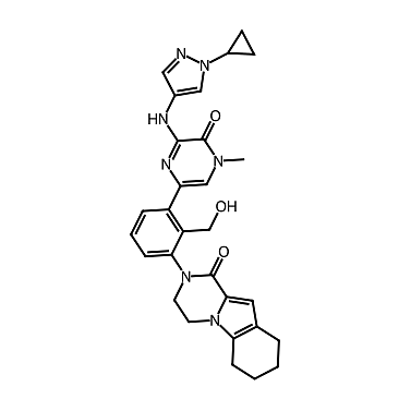 Cn1cc(-c2cccc(N3CCn4c(cc5c4CCCC5)C3=O)c2CO)nc(Nc2cnn(C3CC3)c2)c1=O